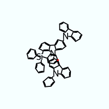 c1ccc(-n2c3ccccc3c3cc(-n4c5ccc(-n6c7ccccc7c7ccccc76)cc5c5cccc([Si](c6ccccc6)(c6ccccc6)c6ccccc6)c54)ccc32)cc1